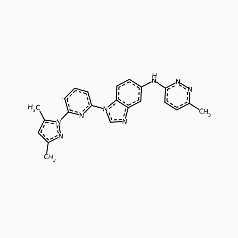 Cc1ccc(Nc2ccc3c(c2)ncn3-c2cc[c]c(-n3nc(C)cc3C)n2)nn1